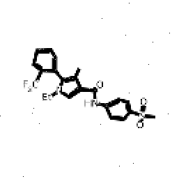 [CH2]Cn1cc(C(=O)Nc2ccc(S(C)(=O)=O)cc2)c(C)c1-c1ccccc1C(F)(F)F